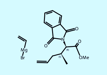 C=CC[C@H](C)[C@H](C(=O)OC)N1C(=O)c2ccccc2C1=O.C=[CH][Mg][Br]